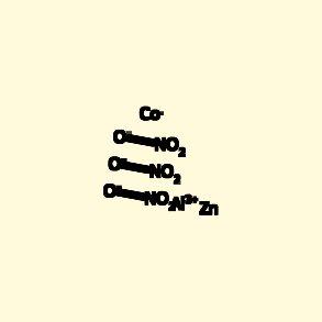 O=[N+]([O-])[O-].O=[N+]([O-])[O-].O=[N+]([O-])[O-].[Al+3].[Co].[Zn]